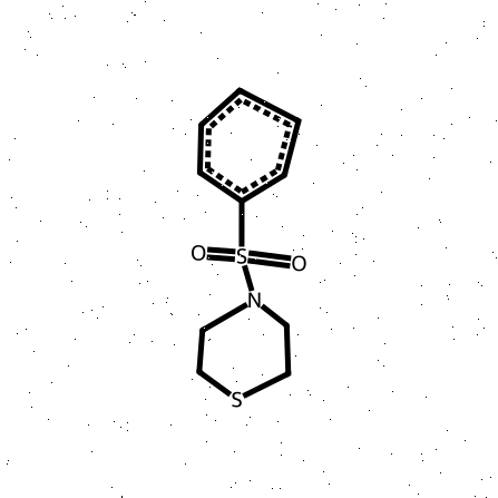 O=S(=O)(c1ccccc1)N1CCSCC1